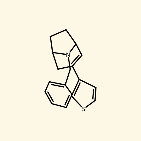 C1=C(c2ccsc2)CC2CCC1N2Cc1ccccc1